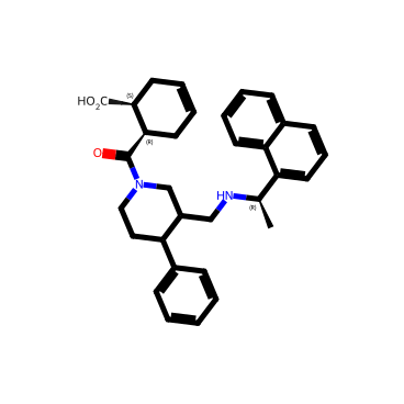 C[C@@H](NCC1CN(C(=O)[C@@H]2CC=CC[C@@H]2C(=O)O)CCC1c1ccccc1)c1cccc2ccccc12